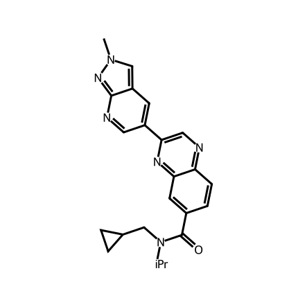 CC(C)N(CC1CC1)C(=O)c1ccc2ncc(-c3cnc4nn(C)cc4c3)nc2c1